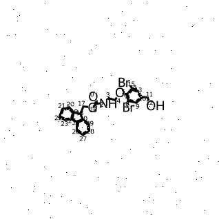 O=C(NCCOc1c(Br)cc(CO)cc1Br)OCC1c2ccccc2-c2ccccc21